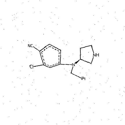 CC(C)CN(c1ccc(C#N)c(Cl)c1)[C@H]1CCNC1